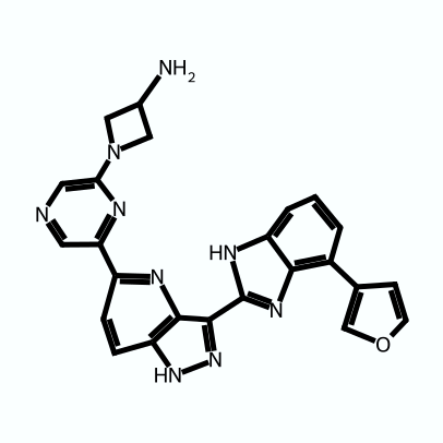 NC1CN(c2cncc(-c3ccc4[nH]nc(-c5nc6c(-c7ccoc7)cccc6[nH]5)c4n3)n2)C1